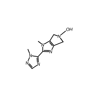 Cn1ncnc1-c1nc2c(n1C)CN(O)C2